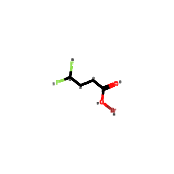 O=C(CCC(F)F)OBr